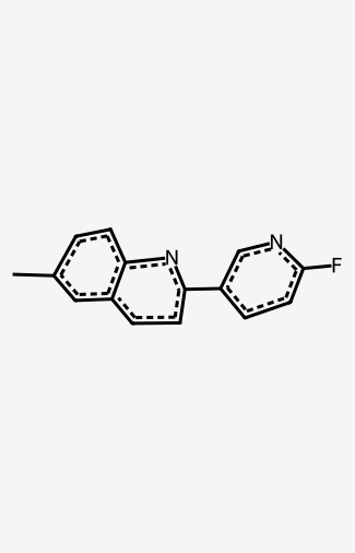 Cc1ccc2nc(-c3ccc(F)nc3)ccc2c1